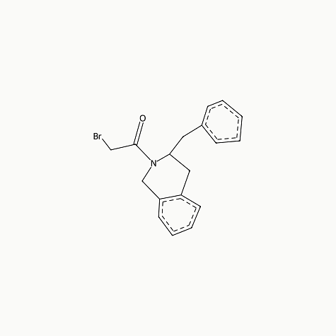 O=C(CBr)N1Cc2ccccc2CC1Cc1ccccc1